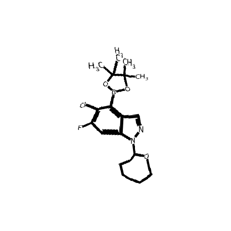 CC1(C)OB(c2c(Cl)c(F)cc3c2cnn3C2CCCCO2)OC1(C)C